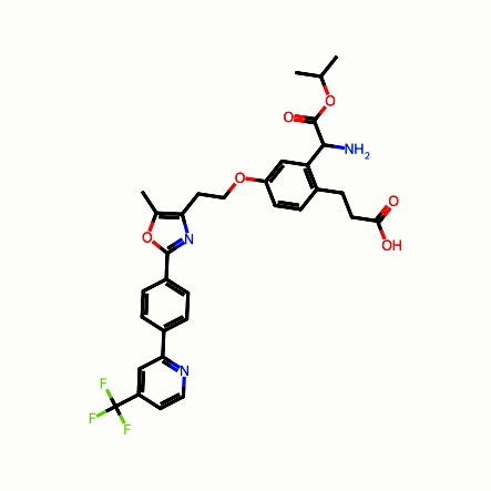 Cc1oc(-c2ccc(-c3cc(C(F)(F)F)ccn3)cc2)nc1CCOc1ccc(CCC(=O)O)c(C(N)C(=O)OC(C)C)c1